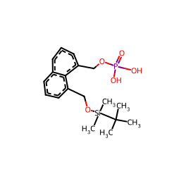 CC(C)(C)[Si](C)(C)OCc1cccc2cccc(COP(=O)(O)O)c12